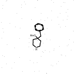 COC1(Cc2ccccc2)CCNCC1